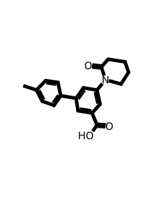 Cc1ccc(-c2cc(C(=O)O)cc(N3CCCCC3=O)c2)cc1